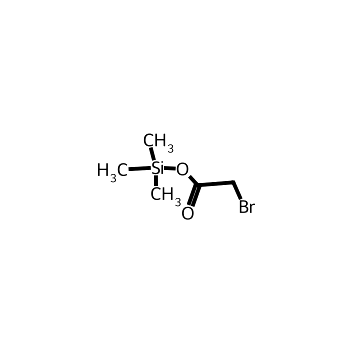 C[Si](C)(C)OC(=O)CBr